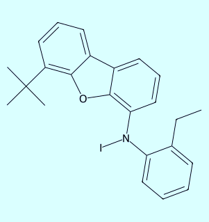 CCc1ccccc1N(I)c1cccc2c1oc1c(C(C)(C)C)cccc12